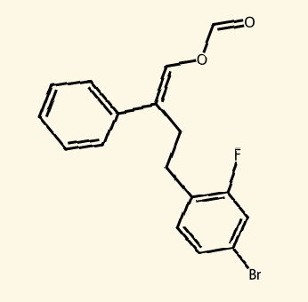 O=CO/C=C(\CCc1ccc(Br)cc1F)c1ccccc1